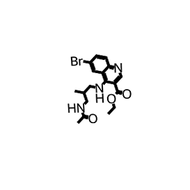 CCOC(=O)c1cnc2ccc(Br)cc2c1NCC(C)CNC(C)=O